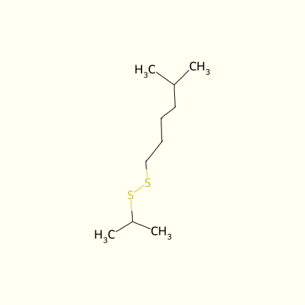 CC(C)CCCCSSC(C)C